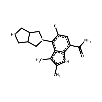 Cc1[nH]c2c(C(N)=O)cc(F)c(N3CC4CNCC4C3)c2c1C